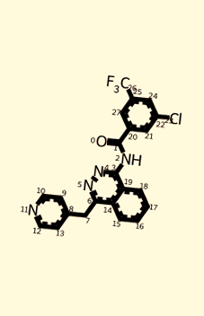 O=C(Nc1nnc(Cc2ccncc2)c2ccccc12)c1cc(Cl)cc(C(F)(F)F)c1